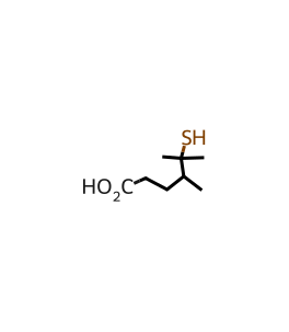 CC(CCC(=O)O)C(C)(C)S